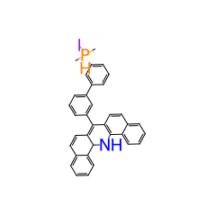 C[PH](C)(I)c1cccc(-c2cccc(C3=C4C=Cc5ccccc5C4Nc4c3ccc3ccccc43)c2)c1